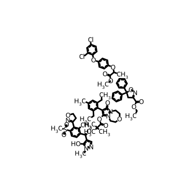 CCOC(=O)C1=NOC(c2ccccc2)(c2ccccc2)C1.CCc1cc(C)cc(CC)c1-c1c(OC(=O)C(C)(C)C)n2n(c1=O)CCOCC2.COC(=O)C(C)Oc1ccc(Oc2ccc(Cl)cc2Cl)cc1.Cc1c(C(=O)c2cnn(C)c2O)ccc(S(C)(=O)=O)c1C1=NOCC1